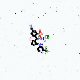 CS(=O)(=O)c1cc(C#N)ccc1C(N)C1=C(Nc2ccnc(C(F)(F)F)c2)CCC1=O.Cl